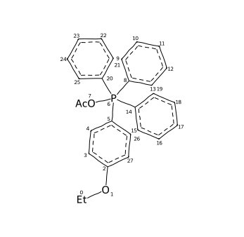 CCOc1ccc(P(OC(C)=O)(c2ccccc2)(c2ccccc2)c2ccccc2)cc1